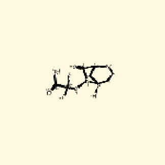 O=C1C2C[C@H](CCN2)N1OC(F)(F)C(=O)O